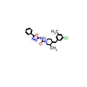 Cc1cc(Cl)cc(C=C2CCN(C(=O)Nc3nnc(-c4ccccc4)o3)CC2C)c1